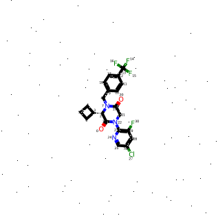 O=C1[C@H](C2CCC2)N(Cc2ccc(C(F)(F)F)cc2)C(=O)CN1c1ncc(Cl)cc1F